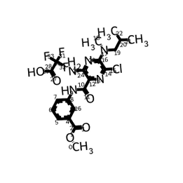 COC(=O)c1cccc(NC(=O)c2nc(Cl)c(N(C)CC(C)C)nc2N)c1.O=C(O)C(F)(F)F